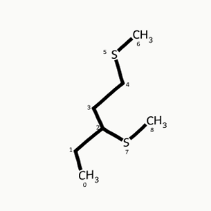 CCC(CCSC)SC